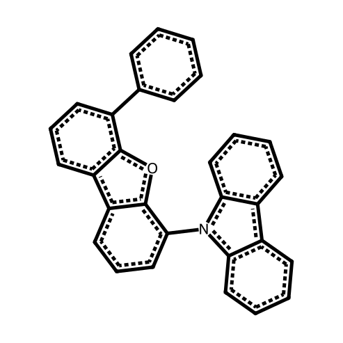 c1ccc(-c2cccc3c2oc2c(-n4c5ccccc5c5ccccc54)cccc23)cc1